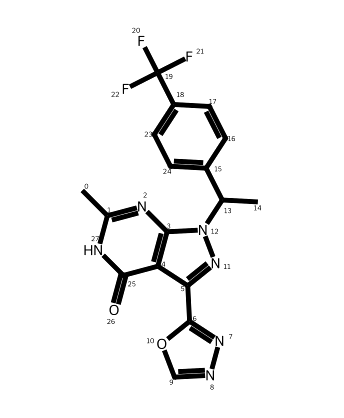 Cc1nc2c(c(-c3nnco3)nn2C(C)c2ccc(C(F)(F)F)cc2)c(=O)[nH]1